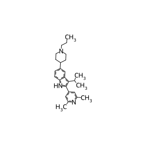 CCCN1CCC(c2ccc3[nH]c(-c4cc(C)nc(C)c4)c(C(C)C)c3c2)CC1